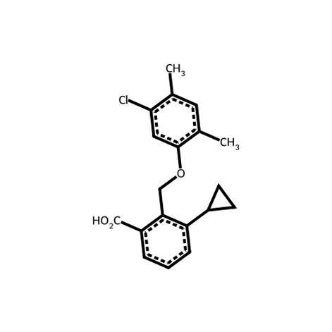 Cc1cc(C)c(OCc2c(C(=O)O)cccc2C2CC2)cc1Cl